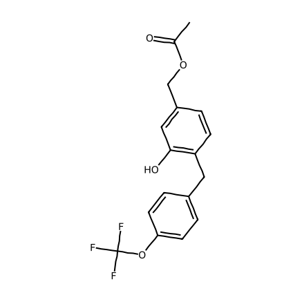 CC(=O)OCc1ccc(Cc2ccc(OC(F)(F)F)cc2)c(O)c1